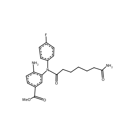 COC(=O)c1ccc(N)c(N(C(=O)CCCCCC(N)=O)c2ccc(F)cc2)c1